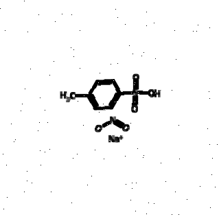 Cc1ccc(S(=O)(=O)O)cc1.O=N[O-].[Na+]